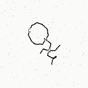 C=C(C)C[Si](CC)(CC)CN1CCCCCCCCCC1